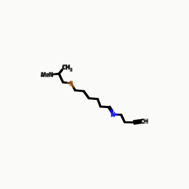 C#CCC/N=C/CCCCCSCC(C)NC